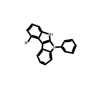 Brc1cccc2[nH]c3c(c4ccccc4n3-c3ccccc3)c12